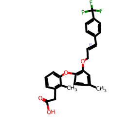 Cc1ccc(Oc2cccc(CC(=O)O)c2C)c(OC/C=C/c2ccc(C(F)(F)F)cc2)c1